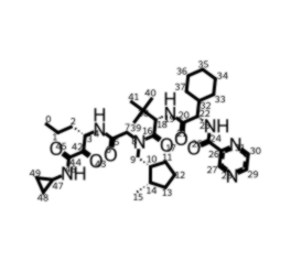 CCC[C@H](NC(=O)CN(C[C@@H]1CCC[C@@H]1C)C(=O)[C@@H](NC(=O)[C@@H](NC(=O)c1cnccn1)C1CCCCC1)C(C)(C)C)C(=O)C(=O)NC1CC1